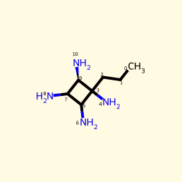 CCCC1(N)C(N)C(N)[C@H]1N